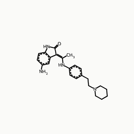 CC(Nc1ccc(CCN2CCCCC2)cc1)=C1C(=O)Nc2ccc(N)cc21